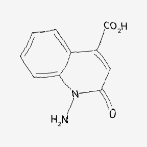 Nn1c(=O)cc(C(=O)O)c2ccccc21